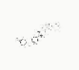 O=c1c(Cl)c(NC[C@@]2(O)CCCOC2)cnn1-c1ccc(Oc2ccc(F)cc2)nc1